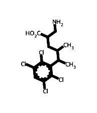 CC(CC(CN)C(=O)O)C(C)c1c(Cl)c(Cl)cc(Cl)c1Cl